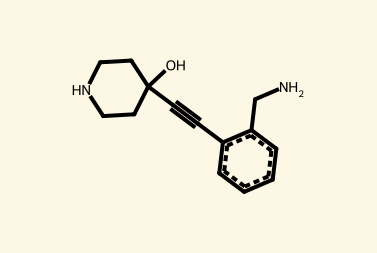 NCc1ccccc1C#CC1(O)CCNCC1